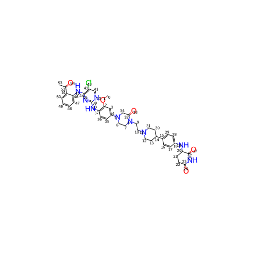 COc1cc(N2CCN(CCN3CCC(c4ccc(NC5CCC(=O)NC5=O)cc4)CC3)C(=O)C2)ccc1Nc1ncc(Cl)c(Nc2ccccc2C(C)=O)n1